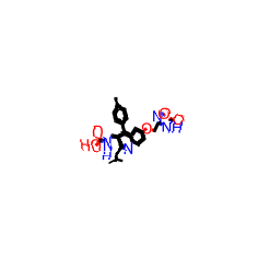 Cc1ccc(-c2c(CNC(=O)O)c(CC(C)C)nc3ccc(OCc4noc(=O)[nH]4)cc23)cc1